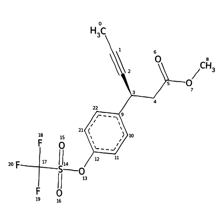 CC#C[C@@H](CC(=O)OC)c1ccc(OS(=O)(=O)C(F)(F)F)cc1